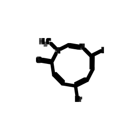 Cn1cnc(I)ccc(Br)ccc1=O